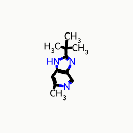 Cc1cc2[nH]c(C(C)(C)C)nc2cn1